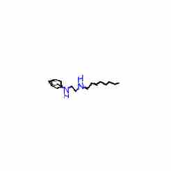 CCCCCCCCNCCNC12CCC(CC1)CC2